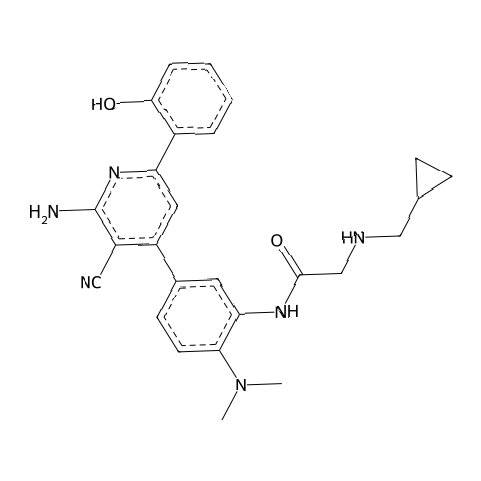 CN(C)c1ccc(-c2cc(-c3ccccc3O)nc(N)c2C#N)cc1NC(=O)CNCC1CC1